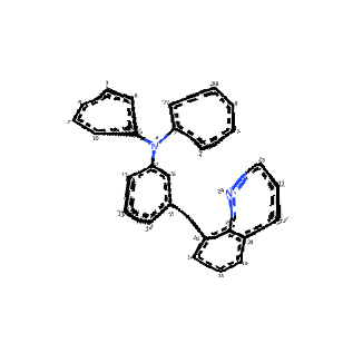 c1ccc(N(c2ccccc2)c2cccc(-c3cccc4cccnc34)c2)cc1